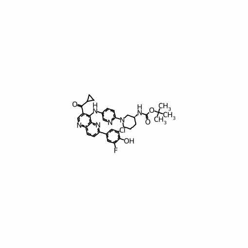 CC(C)(C)OC(=O)N[C@H]1CCCN(c2ccc(Nc3c(C(=O)C4CC4)cnc4ccc(-c5cc(F)c(O)c(Cl)c5)nc34)cn2)C1